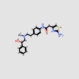 CC(=O)N(CCc1ccc(NC(=O)Cc2csc(N)n2)cc1)C[C@H](O)c1ccccc1